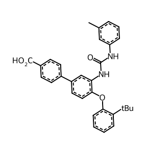 Cc1cccc(NC(=O)Nc2cc(-c3ccc(C(=O)O)cc3)ccc2Oc2ccccc2C(C)(C)C)c1